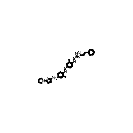 Cc1cc(/N=N/c2ccc(N3CCCC3)s2)ccc1/N=N/c1ccc(/N=N/c2nnc(/C=C/c3ccccc3)s2)c(C)c1